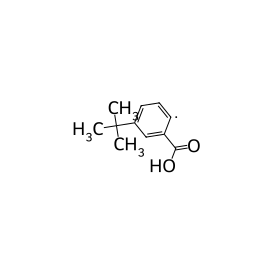 CC(C)(C)c1cc[c]c(C(=O)O)c1